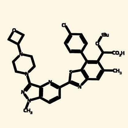 Cc1cc2nc(-c3ccc4c(n3)c(N3CCN(C5COC5)CC3)nn4C)sc2c(-c2ccc(Cl)cc2)c1C(OC(C)(C)C)C(=O)O